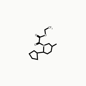 CC1CCC(C2CCCC2)N(C(=O)C(=O)OCC(F)(F)F)C1